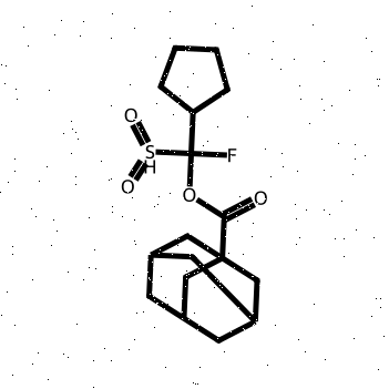 O=C(OC(F)(C1CCCC1)[SH](=O)=O)C12CC3CC(CC(C3)C1)C2